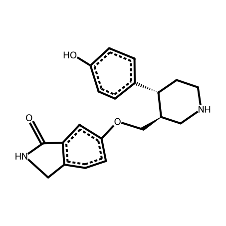 O=C1NCc2ccc(OC[C@@H]3CNCC[C@H]3c3ccc(O)cc3)cc21